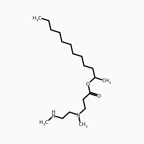 CCCCCCCCCCC(C)OC(=O)CCN(C)CCNC